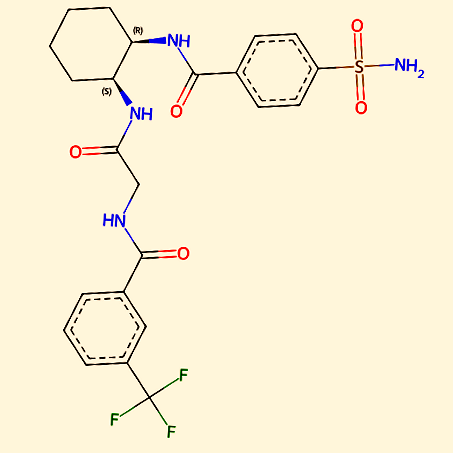 NS(=O)(=O)c1ccc(C(=O)N[C@@H]2CCCC[C@@H]2NC(=O)CNC(=O)c2cccc(C(F)(F)F)c2)cc1